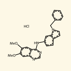 COc1cc2ncnc(Nc3ccc4ccn(Cc5ccccc5)c4c3)c2cc1OC.Cl